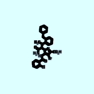 CN(c1ccccc1Cc1ccccc1)C(C(N)=O)n1nc(C(=O)O)c(Br)c1NC(=O)c1ccccc1Cl